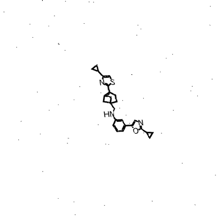 c1cc(NCC23CCC(c4nc(C5CC5)cs4)=C(C2)C3)cc(-c2cnc(C3CC3)o2)c1